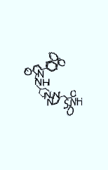 COc1ccc(-c2ccc3c(c2)OCO3)nc1CNCC1CCN(c2nccc(/C=C3\SC(=O)NC3=O)n2)CC1